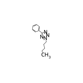 CCCCCn1nnc(-c2ccccc2)n1